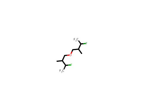 CC(COCC(C)C(F)C(F)(F)F)C(F)C(F)(F)F